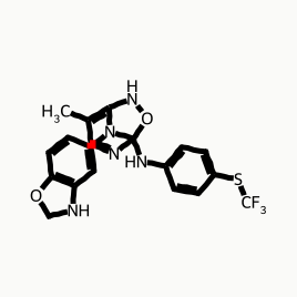 CC1=C2NOC(Nc3ccc(SC(F)(F)F)cc3)(N=C1)N2c1ccc2c(c1)NCO2